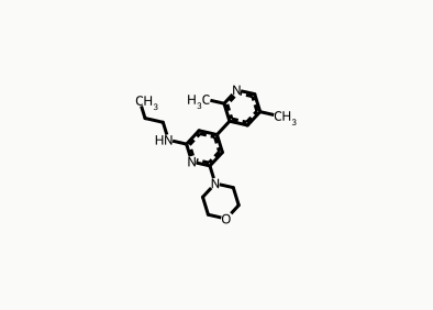 CCCNc1cc(-c2cc(C)cnc2C)cc(N2CCOCC2)n1